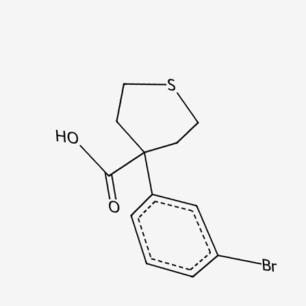 O=C(O)C1(c2cccc(Br)c2)CCSCC1